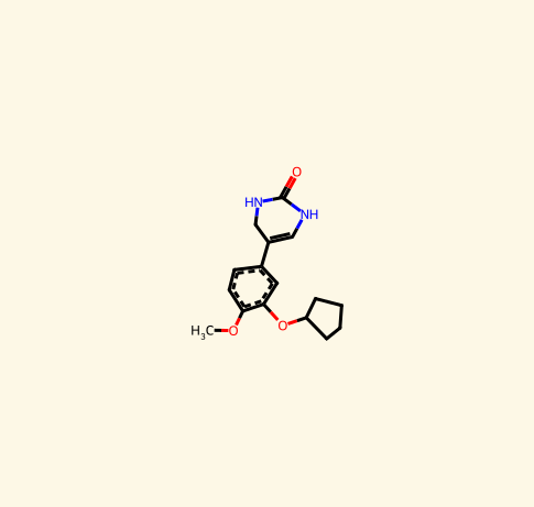 COc1ccc(C2=CNC(=O)NC2)cc1OC1CCCC1